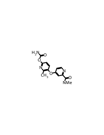 CNC(=O)c1cc(Oc2ccc(OC(N)=O)nc2C)ccn1